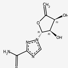 C=C1O[C@@H](n2cnc(C(N)=O)n2)[C@H](O)[C@@H]1O